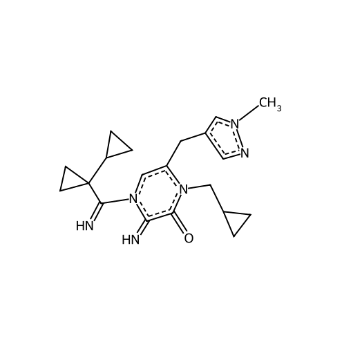 Cn1cc(Cc2cn(C(=N)C3(C4CC4)CC3)c(=N)c(=O)n2CC2CC2)cn1